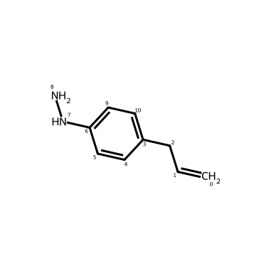 C=CCc1ccc(NN)cc1